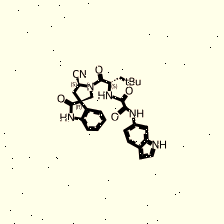 CC(C)(C)C[C@H](NC(=O)C(=O)Nc1ccc2cc[nH]c2c1)C(=O)N1C[C@]2(C[C@H]1C#N)C(=O)Nc1ccccc12